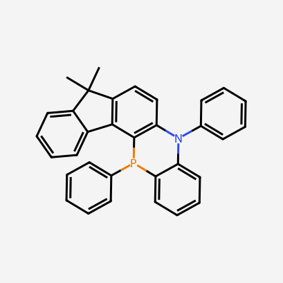 CC1(C)c2ccccc2-c2c1ccc1c2P(c2ccccc2)c2ccccc2N1c1ccccc1